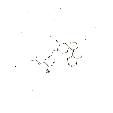 CC(C)Oc1cc(CN2CC[C@]3(CCCN3c3ccccc3F)C[C@@H]2C)ccc1O